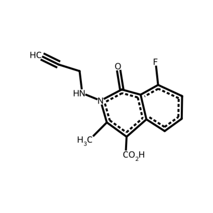 C#CCNn1c(C)c(C(=O)O)c2cccc(F)c2c1=O